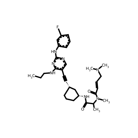 CCCNc1nc(Nc2cccc(F)c2)ncc1C#C[C@H]1CCC[C@@H](NC(=O)C(C)N(C)C(=O)C=CCN(C)C)C1